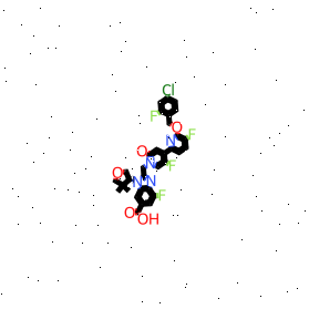 CC1(C)COC[C@H]1n1c(Cn2cc(F)c(-c3ccc(F)c(OCc4ccc(Cl)cc4F)n3)cc2=O)nc2c(F)cc(C(=O)O)cc21